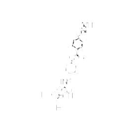 CC(C)(C)OC(=O)NC[C@H]1CC[C@@H](OC(=O)c2ccc(ON=N)cc2)CC1